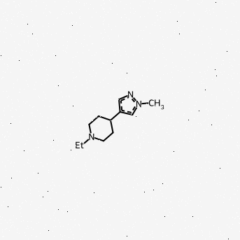 CCN1CCC(c2cnn(C)c2)CC1